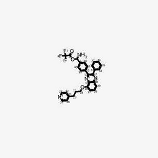 NC(OC(=O)C(F)(F)F)c1ccc(-c2nc3c(OCCCc4ccncc4)cccc3nc2-c2ccccc2)cc1